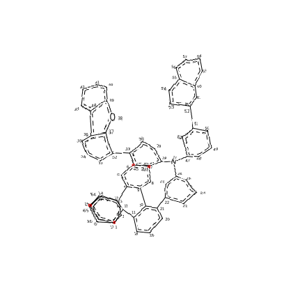 c1ccc(-c2ccccc2-c2c(-c3ccccc3)cccc2-c2cccc(N(c3ccc(-c4cccc5c4oc4ccccc45)cc3)c3cccc(-c4ccc5ccccc5c4)c3)c2)cc1